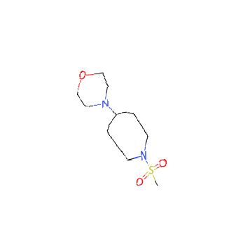 CS(=O)(=O)N1CCC(N2CCOCC2)CC1